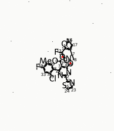 COC(=O)c1c(CN2C3COCC2C(F)c2oncc23)nc(-c2nccs2)nc1-c1ccc(F)cc1Cl